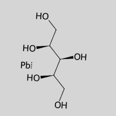 OC[C@@H](O)[C@H](O)[C@@H](O)CO.[Pb]